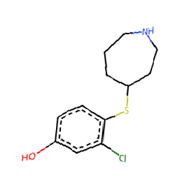 Oc1ccc(SC2CCCNCC2)c(Cl)c1